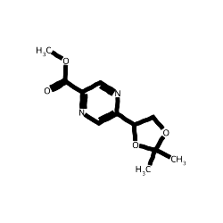 COC(=O)c1cnc(C2COC(C)(C)O2)cn1